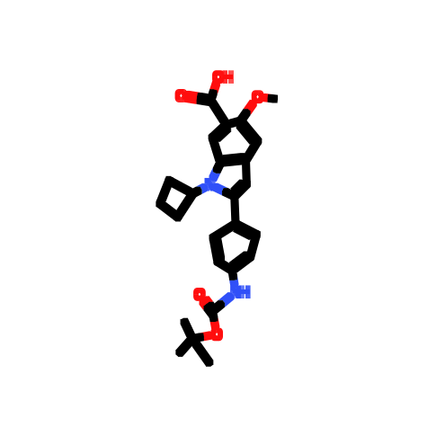 COc1cc2cc(-c3ccc(NC(=O)OC(C)(C)C)cc3)n(C3CCC3)c2cc1C(=O)O